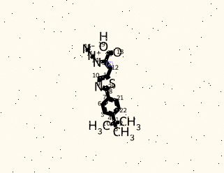 CC(C)(C)c1ccc(-c2ncc(/C=C(\N=[N+]=[N-])C(=O)O)s2)cc1